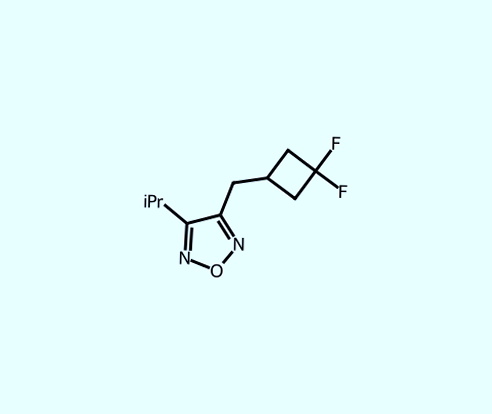 CC(C)c1nonc1CC1CC(F)(F)C1